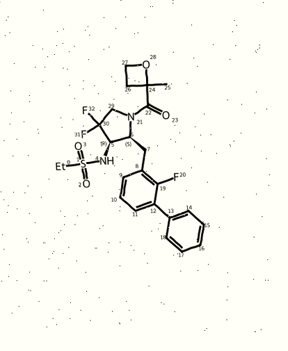 CCS(=O)(=O)N[C@@H]1[C@H](Cc2cccc(-c3ccccc3)c2F)N(C(=O)C2(C)CCO2)CC1(F)F